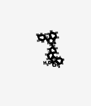 CC1(C)c2ccccc2-c2c1ccc1cc(-c3nc(-c4ccccc4)c4ccccc4n3)ccc21